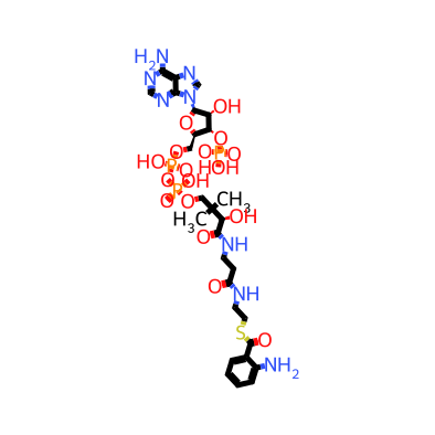 CC(C)(COP(=O)(O)OP(=O)(O)OC[C@H]1O[C@@H](n2cnc3c(N)ncnc32)[C@H](O)[C@@H]1OP(=O)(O)O)[C@@H](O)C(=O)NCCC(=O)NCCSC(=O)c1ccccc1N